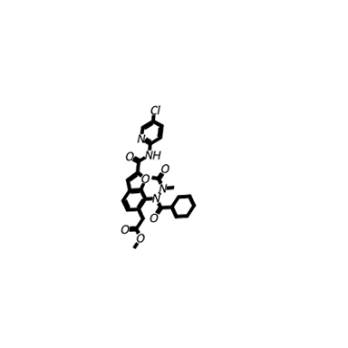 COC(=O)Cc1ccc2cc(C(=O)Nc3ccc(Cl)cn3)oc2c1N(C(=O)C1CCCCC1)N(C)C(C)=O